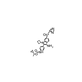 CC(OC(=O)Nc1ccc(-c2c(N)c3ccc([S+]([O-])CCn4cncn4)cc3n2C2CCC2)cc1)C1CC1